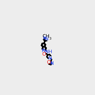 Cn1cc(-c2ccc3cnc(NC(=O)C4CCN(Cc5ncco5)CC4)cc3c2)cn1